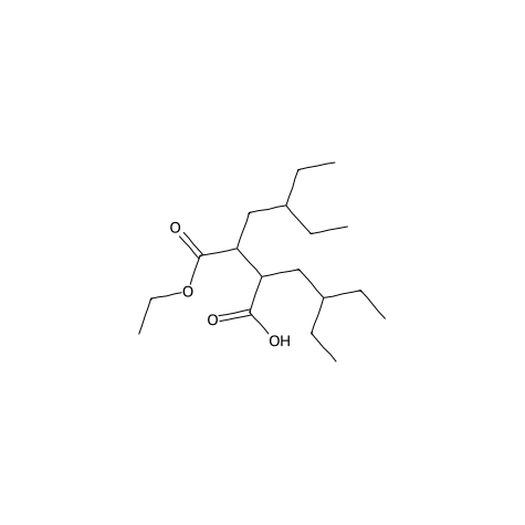 CCOC(=O)C(CC(CC)CC)C(CC(CC)CC)C(=O)O